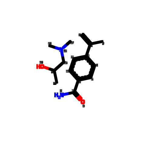 C=C(C)c1ccc(C(N)=O)cc1.CC(O)CN(C)C